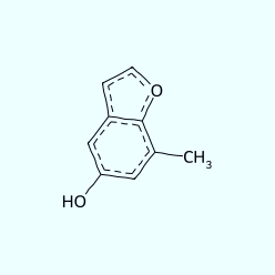 Cc1cc(O)cc2ccoc12